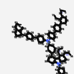 C/C=C\c1cccc(-c2ccc(-c3ccc(N(C4=CC=CC(c5cccc6c5c5c(/C=C\C)c(/C=C\C)ccc5n6-c5ccccc5)=CC4)c4ccc(-c5ccc(-c6cccc7ccccc67)cc5)cc4)cc3)cc2)c1CC